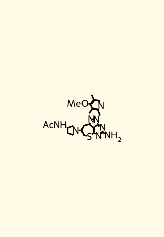 COc1c(C)cnc(Cn2nc3c4c(nc(N)nc42)SCC(N2CC[C@H](NC(C)=O)C2)C3)c1C